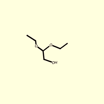 CCO[C](CO)OCC